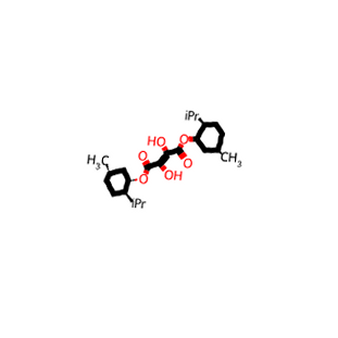 CC(C)[C@H]1CC[C@H](C)CC1OC(=O)/C(O)=C(\O)C(=O)O[C@H]1C[C@@H](C)CC[C@@H]1C(C)C